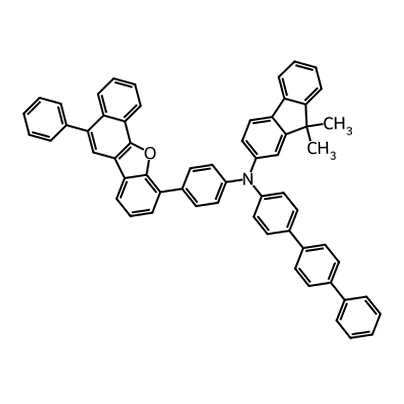 CC1(C)c2ccccc2-c2ccc(N(c3ccc(-c4ccc(-c5ccccc5)cc4)cc3)c3ccc(-c4cccc5c4oc4c6ccccc6c(-c6ccccc6)cc54)cc3)cc21